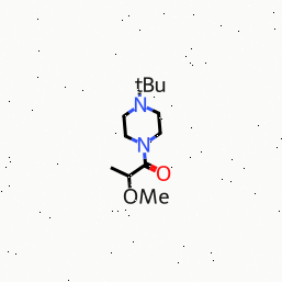 COC(C)C(=O)N1CCN(C(C)(C)C)CC1